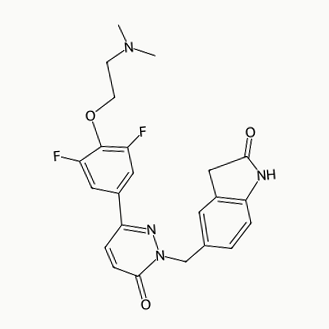 CN(C)CCOc1c(F)cc(-c2ccc(=O)n(Cc3ccc4c(c3)CC(=O)N4)n2)cc1F